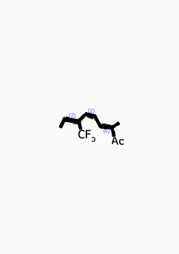 C/C=C(/C=C\C=C(/C)C(C)=O)C(F)(F)F